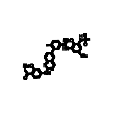 COc1cc(Nc2ncc3cc(-c4cc(C(=O)Nc5cc(C(C)(C)C)cc(NS(C)(=O)=O)c5OC)ccc4C)ccc3n2)ccc1C(=O)I